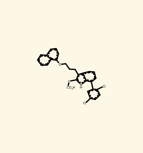 O=C(O)Oc1[nH]c2c(-c3cc(Cl)ccc3Cl)cccc2c1CCCOc1cccc2ccccc12